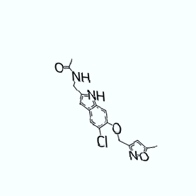 CC(=O)NCc1cc2cc(Cl)c(OCc3cc(C)on3)cc2[nH]1